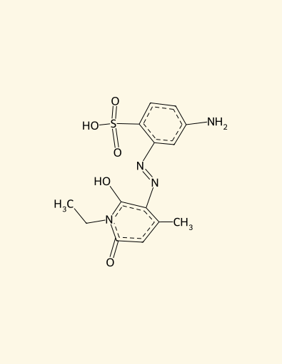 CCn1c(O)c(N=Nc2cc(N)ccc2S(=O)(=O)O)c(C)cc1=O